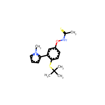 CC(=S)NOc1ccc(SC(C)(C)C)c(-c2cccn2C)c1